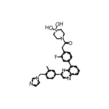 Cc1cc(-c2cnc3cccc(-c4ccc(CC(=O)N5CCS(O)(O)CC5)c(F)c4)c3n2)ccc1Cn1ccnc1